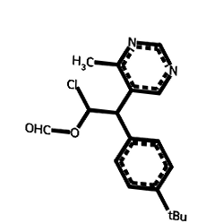 Cc1ncncc1C(c1ccc(C(C)(C)C)cc1)C(Cl)OC=O